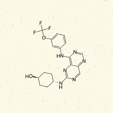 O[C@H]1CC[C@H](Nc2ncc3ncnc(Nc4cccc(OC(F)(F)F)c4)c3n2)CC1